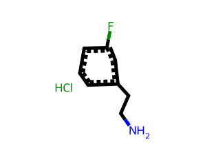 Cl.NCCc1cccc(F)c1